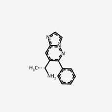 C[C@@H](N)c1cc2nccn2nc1-c1ccccc1